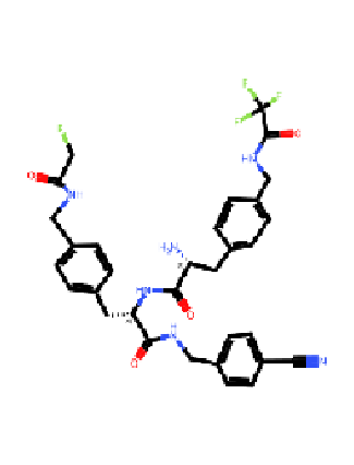 N#Cc1ccc(CNC(=O)[C@H](Cc2ccc(CNC(=O)CF)cc2)NC(=O)[C@H](N)Cc2ccc(CNC(=O)C(F)(F)F)cc2)cc1